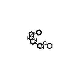 c1ccc([C@H]2CCc3nc4ccc(-c5ccnc(OC6CCCCC6)c5)nc4n32)cc1